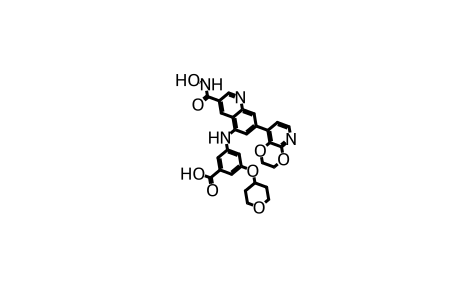 O=C(O)c1cc(Nc2cc(-c3ccnc4c3OCCO4)cc3ncc(C(=O)NO)cc23)cc(OC2CCOCC2)c1